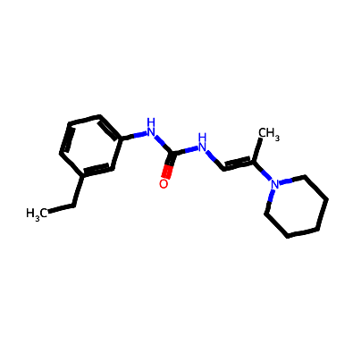 CCc1cccc(NC(=O)N/C=C(\C)N2CCCCC2)c1